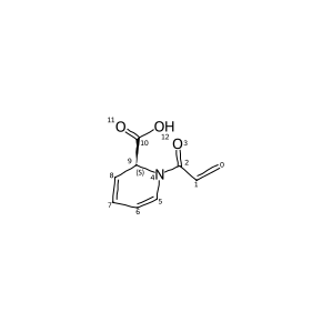 C=CC(=O)N1C=CC=C[C@H]1C(=O)O